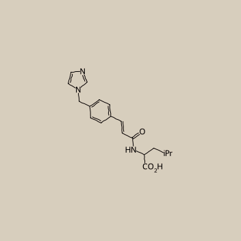 CC(C)CC(NC(=O)C=Cc1ccc(Cn2ccnc2)cc1)C(=O)O